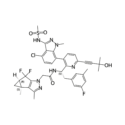 Cc1cc(F)cc(C[C@H](NC(=O)Cn2nc(C)c3c2C(F)(F)[C@@H]2C[C@]32C)c2nc(C#CC(C)(C)O)ccc2-c2ccc(Cl)c3c(NS(C)(=O)=O)nn(C)c23)c1